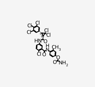 Cc1cc(OC(N)=O)ccc1NC(=O)c1cc(NC(=O)[C@H]2[C@H](c3cc(Cl)c(Cl)c(Cl)c3)C2(Cl)Cl)ccc1Cl